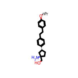 CCCOc1ccc(CCc2ccc([C@@H]3CC[C@](N)(CO)C3)cc2)cc1